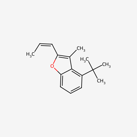 C/C=C\c1oc2cccc(C(C)(C)C)c2c1C